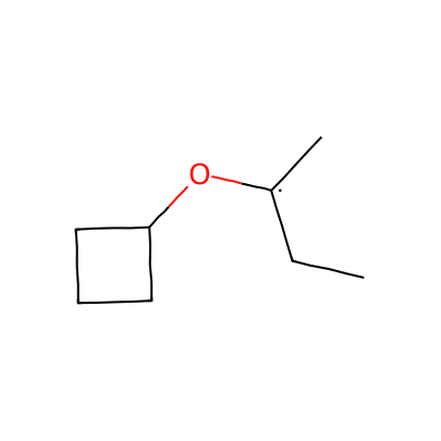 CC[C](C)OC1CCC1